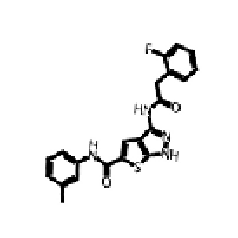 Cc1cccc(NC(=O)c2cc3c(NC(=O)Cc4ccccc4F)n[nH]c3s2)c1